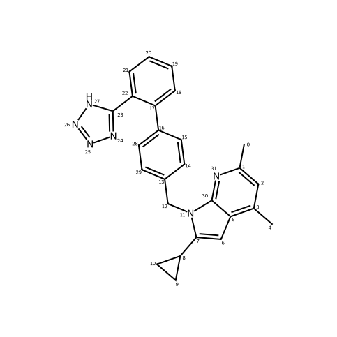 Cc1cc(C)c2cc(C3CC3)n(Cc3ccc(-c4ccccc4-c4nnn[nH]4)cc3)c2n1